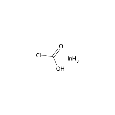 O=C(O)Cl.[InH3]